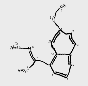 CCCOc1ccc2cccc(C(=NOC)C(=O)O)c2c1